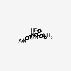 CC(=O)N(C)C1CCC(CC(=O)Nc2cnc(-c3ccc(C4(N)CCC4)cc3)c(-c3ccccc3F)c2)CC1